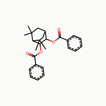 CC1(C)CC2CC(C)(C)C1C(OC(=O)c1ccccc1)C2OC(=O)c1ccccc1